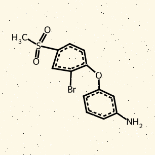 CS(=O)(=O)c1ccc(Oc2cccc(N)c2)c(Br)c1